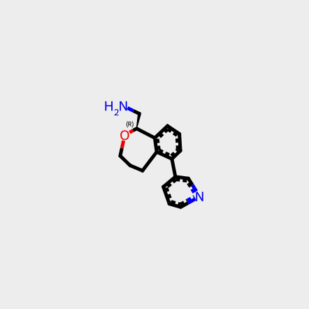 NC[C@@H]1OCCCc2c(-c3cccnc3)cccc21